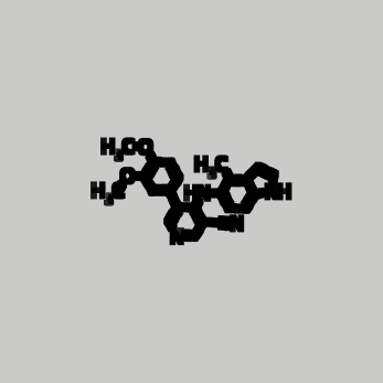 COc1ccc(-c2cncc(C#N)c2Nc2ccc3[nH]ccc3c2C)cc1OC